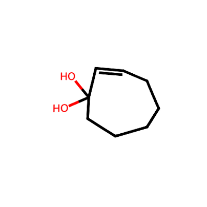 OC1(O)C=CCCCCC1